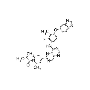 C=C(C)C(=O)N1CCC(c2ncc3ncnc(Nc4ccc(Oc5ccn6ncnc6c5)c(C)c4F)c3n2)=C[C@@H]1C